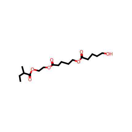 CCC(C)C(=O)OCCOC(=O)CCCCOC(=O)CCCCO